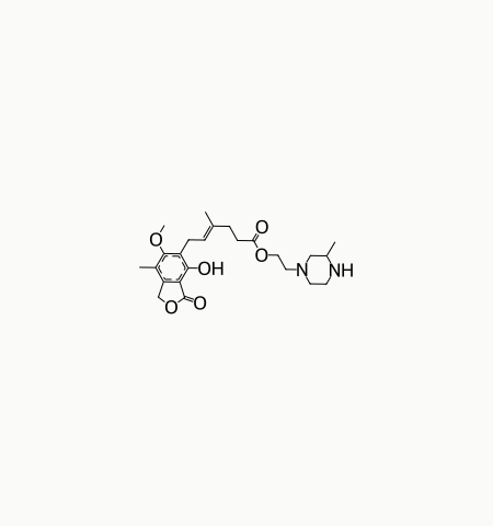 COc1c(C)c2c(c(O)c1C/C=C(\C)CCC(=O)OCCN1CCNC(C)C1)C(=O)OC2